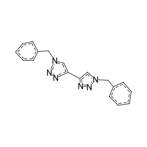 c1ccc(Cn2cc(-c3cn(Cc4ccccc4)nn3)nn2)cc1